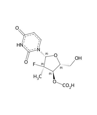 C[C@@]1(F)[C@H](OC(=O)O)[C@@H](CO)O[C@H]1n1ccc(=O)[nH]c1=O